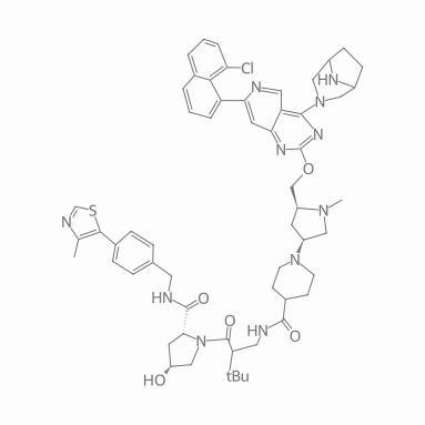 Cc1ncsc1-c1ccc(CNC(=O)[C@H]2C[C@H](O)CN2C(=O)C(CNC(=O)C2CCN([C@H]3C[C@@H](COc4nc(N5CC6CCC(C5)N6)c5cnc(-c6cccc7cccc(Cl)c67)cc5n4)N(C)C3)CC2)C(C)(C)C)cc1